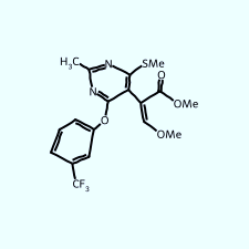 COC=C(C(=O)OC)c1c(Oc2cccc(C(F)(F)F)c2)nc(C)nc1SC